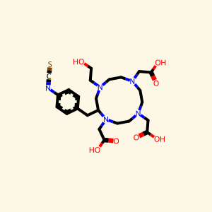 O=C(O)CN1CCN(CC(=O)O)CCN(CC(=O)O)C(Cc2ccc(N=C=S)cc2)CN(CCO)CC1